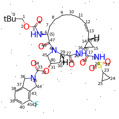 CC(C)(C)COC(=O)N[C@H]1CCCCCC=C[C@@H]2C[C@@]2(C(=O)NS(=O)(=O)C2CC2)NC(=O)[C@@H]2C[C@@H](OC(=O)N3Cc4cccc(F)c4C3)CN2C1=O